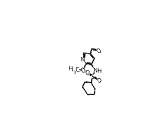 COc1ncc(C=O)cc1NS(=O)(=O)C1CCCCC1